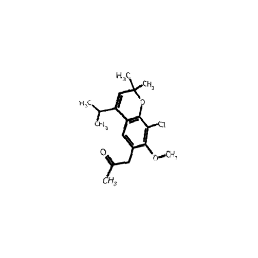 COc1c(CC(C)=O)cc2c(c1Cl)OC(C)(C)C=C2C(C)C